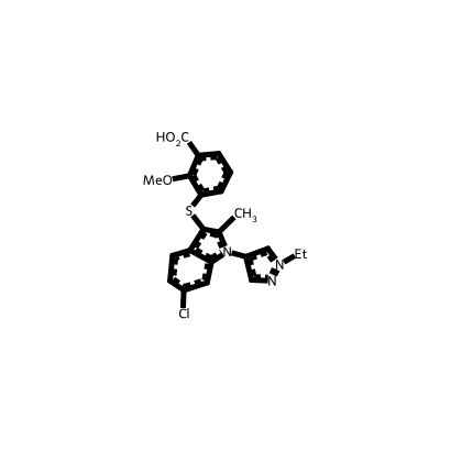 CCn1cc(-n2c(C)c(Sc3cccc(C(=O)O)c3OC)c3ccc(Cl)cc32)cn1